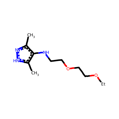 CCOCCOCCNc1c(C)n[nH]c1C